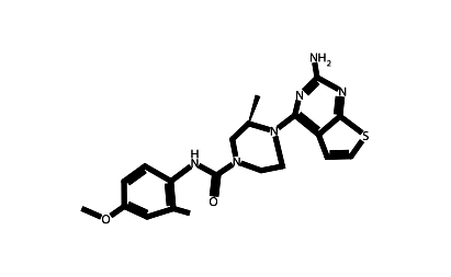 COc1ccc(NC(=O)N2CCN(c3nc(N)nc4sccc34)[C@H](C)C2)c(C)c1